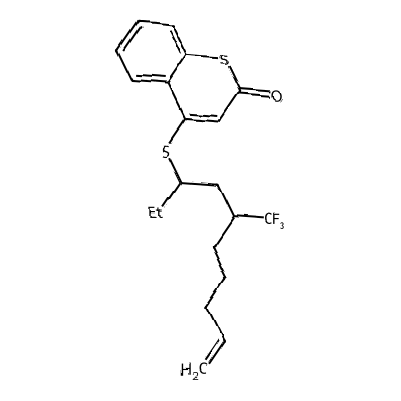 C=CCCCC(CC(CC)Sc1cc(=O)sc2ccccc12)C(F)(F)F